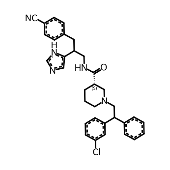 N#Cc1ccc(CC(CNC(=O)[C@H]2CCCN(CC(c3ccccc3)c3cccc(Cl)c3)C2)c2cnc[nH]2)cc1